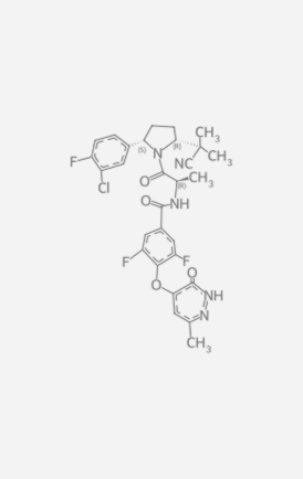 Cc1cc(Oc2c(F)cc(C(=O)N[C@H](C)C(=O)N3[C@H](c4ccc(F)c(Cl)c4)CC[C@@H]3C(C)(C)C#N)cc2F)c(=O)[nH]n1